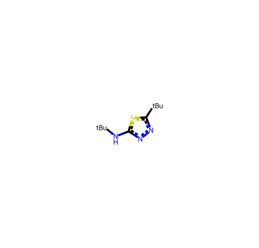 CC(C)(C)Nc1nnc(C(C)(C)C)s1